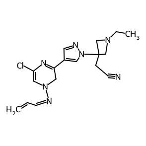 C=C/C=N\N1C=C(Cl)N=C(c2cnn(C3(CC#N)CN(CC)C3)c2)C1